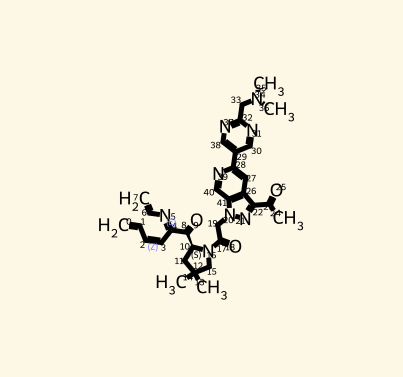 C=C/C=C\C(=N/C=C)C(=O)[C@@H]1CC(C)(C)CN1C(=O)Cn1nc(C(C)=O)c2cc(-c3cnc(CN(C)C)nc3)ncc21